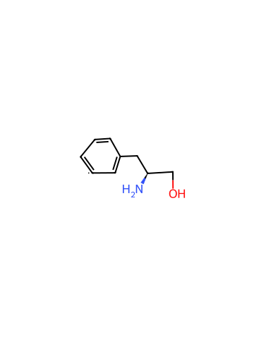 N[C@H](CO)Cc1c[c]ccc1